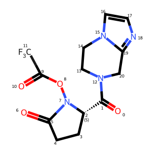 O=C([C@@H]1CCC(=O)N1OC(=O)C(F)(F)F)N1CCn2ccnc2C1